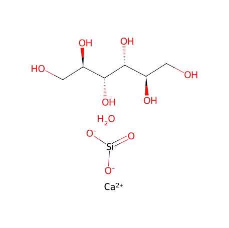 O.O=[Si]([O-])[O-].OC[C@@H](O)[C@@H](O)[C@H](O)[C@H](O)CO.[Ca+2]